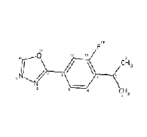 CC(C)c1ccc(-c2nnco2)cc1F